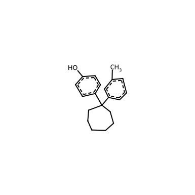 Cc1cccc(C2(c3ccc(O)cc3)CCCCCC2)c1